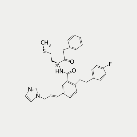 CSCC[C@H](NC(=O)c1cc(C=CCn2ccnc2)ccc1CCc1ccc(F)cc1)C(=O)Cc1ccccc1